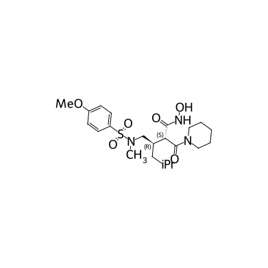 COc1ccc(S(=O)(=O)N(C)C[C@H](CC(C)C)[C@H](C(=O)NO)C(=O)N2CCCCC2)cc1